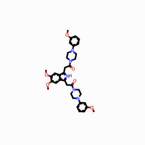 COc1cccc(N2CCN(C(=O)Cc3[nH]c(CC(=O)N4CCN(c5cccc(OC)c5)CC4)c4cc(OC)c(OC)cc34)CC2)c1